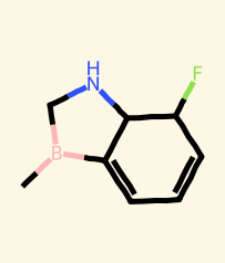 CB1CNC2C1=CC=CC2F